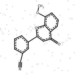 COc1cccc2c(=O)cc(-c3cccc(C#N)c3)oc12